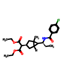 CCOC(=O)C(C(=O)OCC)[C@@H]1C[C@H]2[C@H]([C@@H](CC)NC(=O)c3ccc(Cl)cc3)C2(C)C1